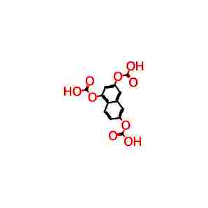 O=C(O)Oc1ccc2c(OC(=O)O)cc(OC(=O)O)cc2c1